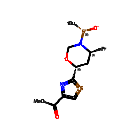 COC(=O)c1csc([C@H]2C[C@H](C(C)C)N([S@@+]([O-])C(C)(C)C)CO2)n1